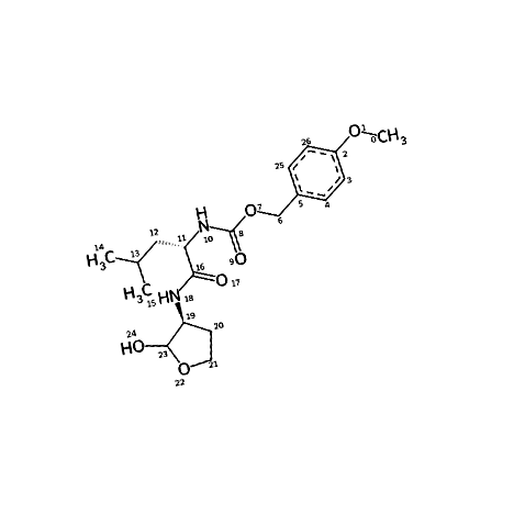 COc1ccc(COC(=O)N[C@@H](CC(C)C)C(=O)N[C@H]2CCOC2O)cc1